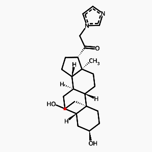 C[C@]12CC[C@H]3[C@@H](CC[C@H]4C[C@H](O)CC[C@@]43CCO)[C@@H]1CC[C@@H]2C(=O)Cn1ccnc1